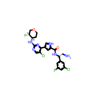 NC[C@@H](NC(=O)c1cc(-c2nc(N[C@@H]3CCOC[C@H]3F)ncc2Cl)c[nH]1)c1cc(F)cc(Cl)c1